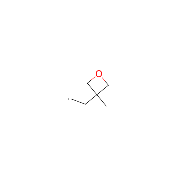 [CH2]CC1(C)COC1